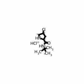 CC(C)(C)NC(=O)C1CC(Cl)CN1.Cl